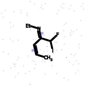 C/C=C\C(=N/CC)C(F)I